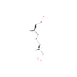 C/C(=C/CO)CC/C=C(\C)CO